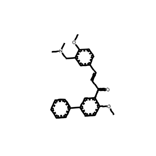 COc1ccc(C=CC(=O)c2cc(-c3ccccc3)ccc2OC)cc1CN(C)C